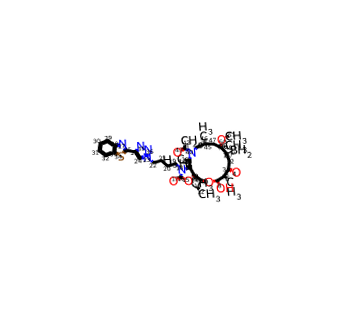 B[C@@H]1CC(=O)[C@@H](C)C(O)O[C@H](CC)[C@@]2(C)OC(=O)N(CCCCn3cc(-c4nc5ccccc5s4)nn3)[C@@H]2[C@@H](C)N(C(C)=O)C[C@H](C)C[C@@]1(C)OC